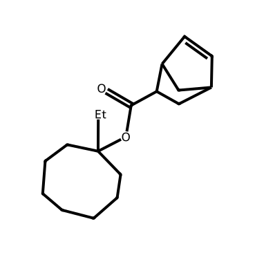 CCC1(OC(=O)C2CC3C=CC2C3)CCCCCCC1